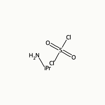 CC(C)N.O=S(=O)(Cl)Cl